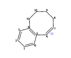 [c]1cccc2c1/C=C\CCCC2